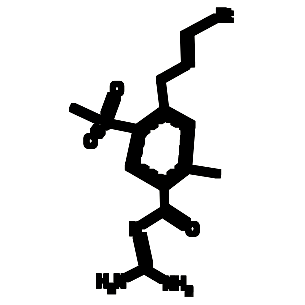 CCC=CCc1cc(C)c(C(=O)N=C(N)N)cc1S(C)(=O)=O